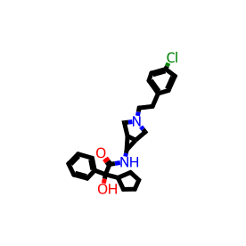 O=C(NC1C2CN(CCc3ccc(Cl)cc3)CC21)C(O)(c1ccccc1)C1CCCC1